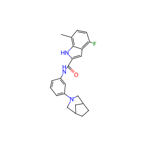 Cc1ccc(F)c2cc(C(=O)Nc3cccc(N4CC5CCC(C5)C4)c3)[nH]c12